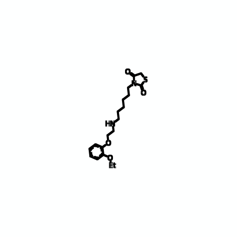 CCOc1ccccc1OCCNCCCCCCN1C(=O)CSC1=O